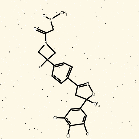 C[S+]([O-])CC(=O)N1CC(F)(c2ccc(C3=NOC(c4cc(Cl)c(Cl)c(Cl)c4)(C(F)(F)F)C3)cc2)C1